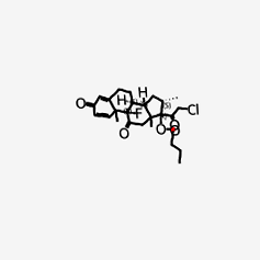 CCCC(=O)O[C@]1(C(=O)CCl)[C@@H](C)C[C@H]2[C@@H]3CCC4=CC(=O)C=CC4(C)[C@@]3(F)C(=O)CC21C